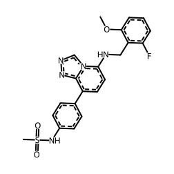 COc1cccc(F)c1CNc1ccc(-c2ccc(NS(C)(=O)=O)cc2)c2nncn12